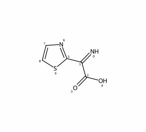 N=C(C(=O)O)c1nccs1